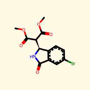 COC(=O)C(C(=O)OC)[C@@H]1NC(=O)c2cc(Br)ccc21